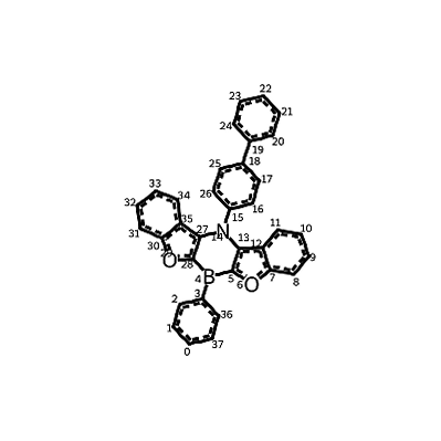 c1ccc(B2c3oc4ccccc4c3N(c3ccc(-c4ccccc4)cc3)c3c2oc2ccccc32)cc1